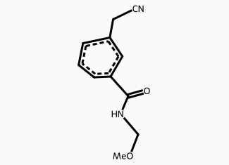 COCNC(=O)c1cccc(CC#N)c1